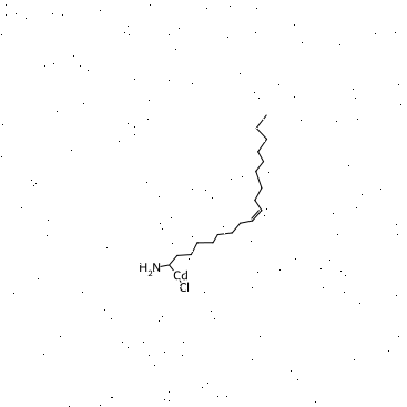 CCCCCCCC/C=C\CCCCCCC[CH](N)[Cd][Cl]